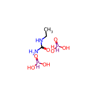 CCNC(N)=O.O=[PH](O)O.O=[PH](O)O